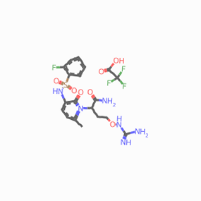 Cc1ccc(NS(=O)(=O)c2ccccc2F)c(=O)n1C(CCONC(=N)N)C(N)=O.O=C(O)C(F)(F)F